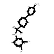 Cc1ccc(-c2ccc(C(F)(F)Oc3ccc(I)c(F)c3)cc2)cc1